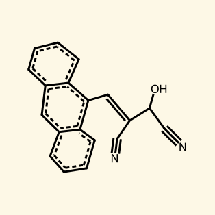 N#CC(=Cc1c2ccccc2cc2ccccc12)C(O)C#N